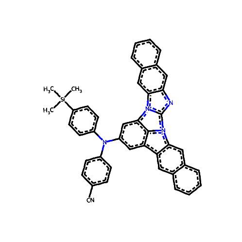 C[Si](C)(C)c1ccc(N(c2ccc(C#N)cc2)c2cc3c4cc5ccccc5cc4n4c3c(c2)n2c3cc5ccccc5cc3nc24)cc1